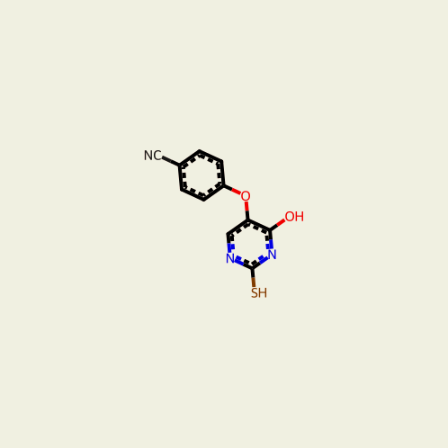 N#Cc1ccc(Oc2cnc(S)nc2O)cc1